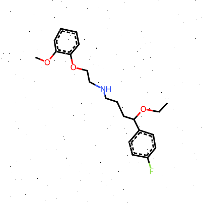 CCOC(CCCNCCOc1ccccc1OC)c1ccc(F)cc1